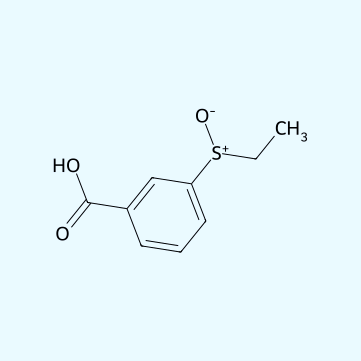 CC[S+]([O-])c1cccc(C(=O)O)c1